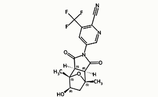 C[C@@]12O[C@@](C)(C[C@H]1O)[C@@H]1C(=O)N(c3cnc(C#N)c(C(F)(F)F)c3)C(=O)[C@@H]12